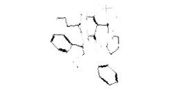 CCCc1nc(O)c(C(=O)N2CC[C@H](c3ccccc3)C2)c(=O)n1C(COC)c1ccccc1